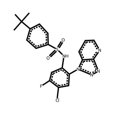 CC(C)(C)c1ccc(S(=O)(=O)Nc2cc(F)c(Cl)cc2-n2nnc3ncccc32)cc1